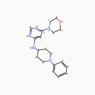 c1ccc(N2CCC(Nc3cc(N4CCOCC4)ncn3)CC2)cc1